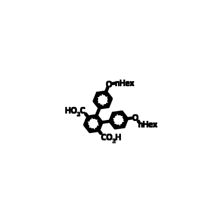 CCCCCCOc1ccc(-c2c(C(=O)O)ccc(C(=O)O)c2-c2ccc(OCCCCCC)cc2)cc1